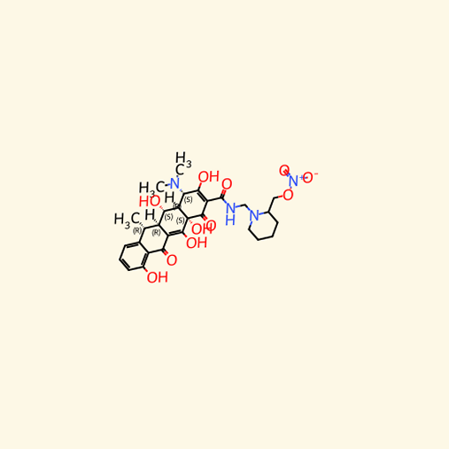 C[C@H]1c2cccc(O)c2C(=O)C2=C(O)[C@]3(O)C(=O)C(C(=O)NCN4CCCCC4CO[N+](=O)[O-])=C(O)[C@@H](N(C)C)[C@@H]3[C@@H](O)[C@@H]21